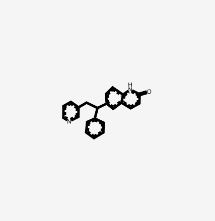 O=c1ccc2cc(C(Cc3cccnc3)c3ccccc3)ccc2[nH]1